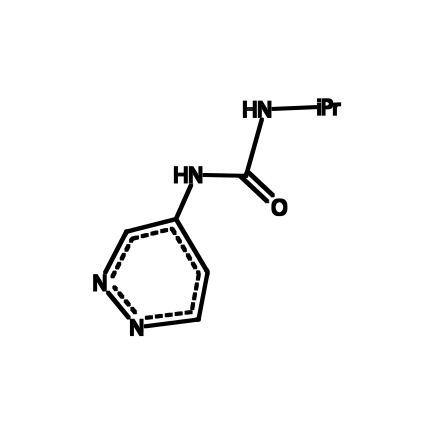 CC(C)NC(=O)Nc1ccnnc1